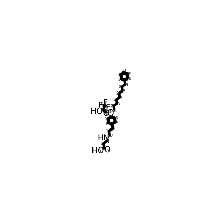 O=C(O)C(F)(F)F.O=C(O)CCNCCCc1ccc(OCCCCCCCCCc2ccccc2)cc1